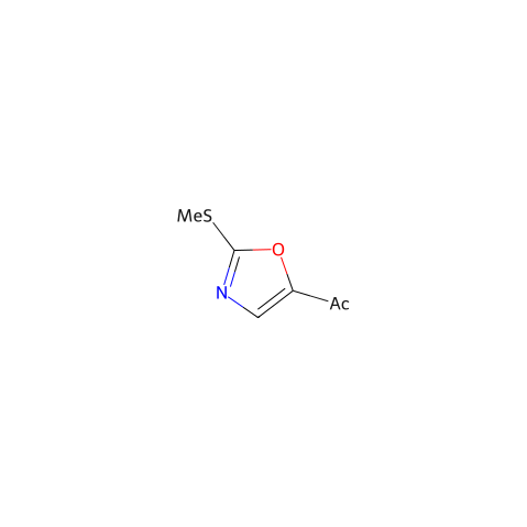 CSc1ncc(C(C)=O)o1